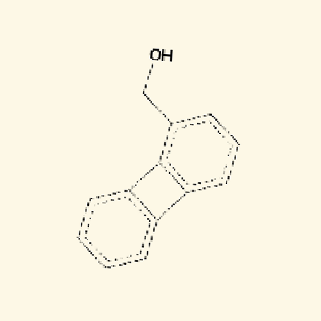 OCc1cccc2c1-c1ccccc1-2